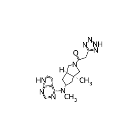 CN(c1ncnc2[nH]ccc12)[C@@H]1C[C@H]2CN(C(=O)Cc3nn[nH]n3)C[C@@]2(C)C1